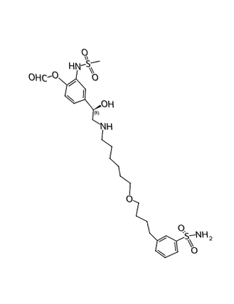 CS(=O)(=O)Nc1cc([C@@H](O)CNCCCCCCOCCCCc2cccc(S(N)(=O)=O)c2)ccc1OC=O